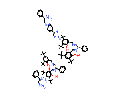 CC(C)(C)c1cc(C=NC[C@@H](N=Cc2cc(C(C)(C)C)cc(C(C)(C)C)c2O)c2ccccc2)c(O)c(C(C)(C)C)c1.CC(C)(C)c1cc(C=NC[C@@H](N=Cc2cc(C(C)(C)C)cc(C(C)(C)C)c2O)c2ccccc2)c(O)c(C(C)(C)C)c1.NC[C@@H](N)c1ccccc1.NC[C@@H](N)c1ccccc1.NC[C@@H](N)c1ccccc1